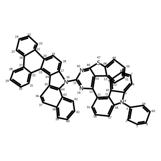 c1ccc(-n2c3ccccc3c3c(-c4nc(-n5c6ccc7c8ccccc8c8ccccc8c7c6c6ccc7ccccc7c65)nc5sc6ccccc6c45)cccc32)cc1